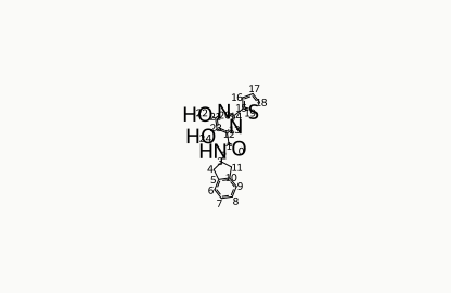 O=C(NC1Cc2ccccc2C1)c1nc(-c2cccs2)nc(O)c1O